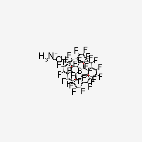 CC[NH3+].Fc1c(F)c(F)c2c([B-](c3c(F)c(F)c(F)c4c(F)c(F)c(F)c(F)c34)(c3c(F)c(F)c(F)c4c(F)c(F)c(F)c(F)c34)c3c(F)c(F)c(F)c4c(F)c(F)c(F)c(F)c34)c(F)c(F)c(F)c2c1F